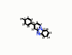 Cc1ccc(-c2ccn3c(c2)nc2ccccc23)cc1